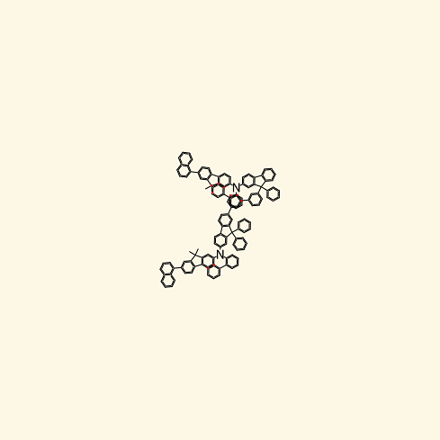 CC1(C)c2cc(-c3cccc4ccccc34)ccc2-c2ccc(N(c3ccc4c(c3)C(c3ccccc3)(c3cccc(-c5cccc(-c6ccc7c(c6)C(c6ccccc6)(c6ccccc6)c6cc(N(c8ccc9c(c8)C(C)(C)c8cc(-c%10cccc%11ccccc%10%11)ccc8-9)c8ccccc8-c8ccccc8)ccc6-7)c5)c3)c3ccccc3-4)c3ccccc3-c3ccccc3)cc21